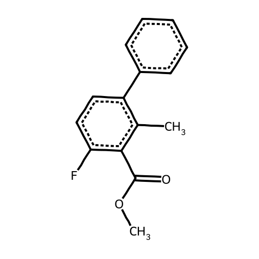 COC(=O)c1c(F)ccc(-c2ccccc2)c1C